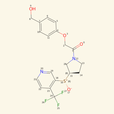 O=C(COc1ccc(CO)cc1)N1CC[C@@H]([S@+]([O-])c2cnccc2C(F)(F)F)C1